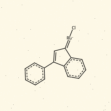 [Cl][Ru-]=[C]1C=C(c2ccccc2)c2ccccc21